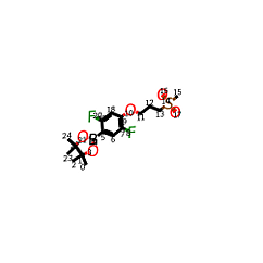 CC1(C)OB(c2cc(F)c(OCCCS(C)(=O)=O)cc2F)OC1(C)C